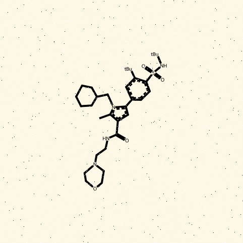 Cc1c(C(=O)NCCN2CCOCC2)cc(-c2ccc(S(=O)(=O)NC(C)(C)C)c(C(C)(C)C)c2)n1CC1CCCCC1